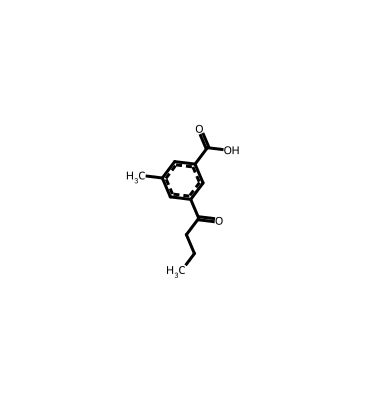 CCCC(=O)c1cc(C)cc(C(=O)O)c1